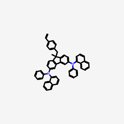 C=Cc1ccc(CC2(C)c3ccc(N(c4ccccc4)c4cccc5ccccc45)cc3-c3cc(N(c4ccccc4)c4cccc5ccccc45)ccc32)cc1